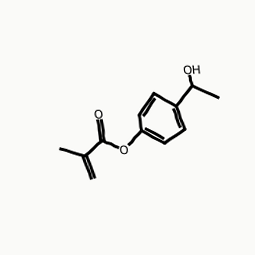 C=C(C)C(=O)Oc1ccc(C(C)O)cc1